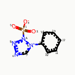 O=S(=O)([O-])n1nnc[n+]1-c1ccccc1